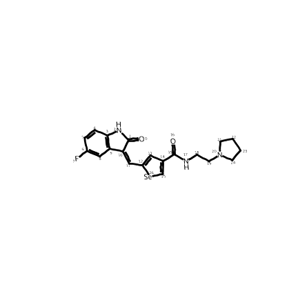 O=C1Nc2ccc(F)cc2C1=Cc1cc(C(=O)NCCN2CCCC2)c[se]1